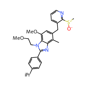 COCCn1c(-c2ccc(C(C)C)cc2)nc2c(C)c(Cc3cccnc3[S+](C)[O-])cc(OC)c21